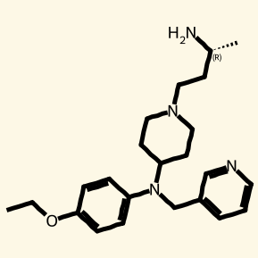 CCOc1ccc(N(Cc2cccnc2)C2CCN(CC[C@@H](C)N)CC2)cc1